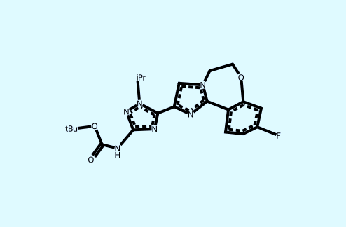 CC(C)n1nc(NC(=O)OC(C)(C)C)nc1-c1cn2c(n1)-c1ccc(F)cc1OCC2